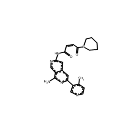 Cc1ccncc1-c1cc2cc(NC(=O)/C=C\C(=O)N3CCCCC3)ncc2c(N)n1